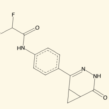 O=C(Nc1ccc(C2=NNC(=O)C3CC23)cc1)C(F)F